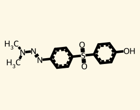 CN(C)N=Nc1ccc(S(=O)(=O)c2ccc(O)cc2)cc1